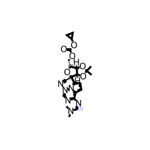 CN(C)/C=N\c1ncnn2c([C@]3(C#N)O[C@H](COC(=O)OC4CC4)[C@H]4OC(C)(C)O[C@H]43)ccc12